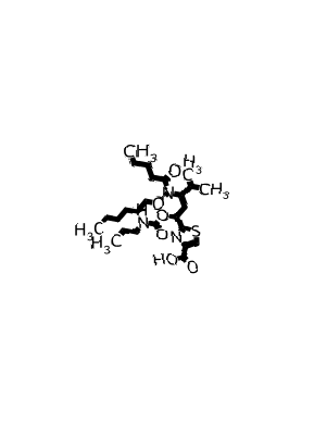 CCCCCCON(C(=O)CCCC)C(CC(OC(=O)NCCC)c1nc(C(=O)O)cs1)C(C)C